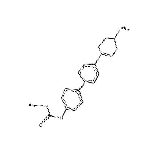 CCCCCCC1CC=C(c2ccc(-c3ccc(OC(=O)OCCCC)cc3)cc2)CC1